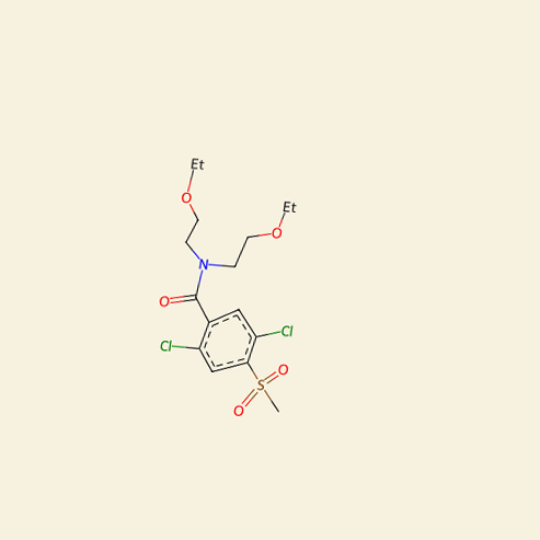 CCOCCN(CCOCC)C(=O)c1cc(Cl)c(S(C)(=O)=O)cc1Cl